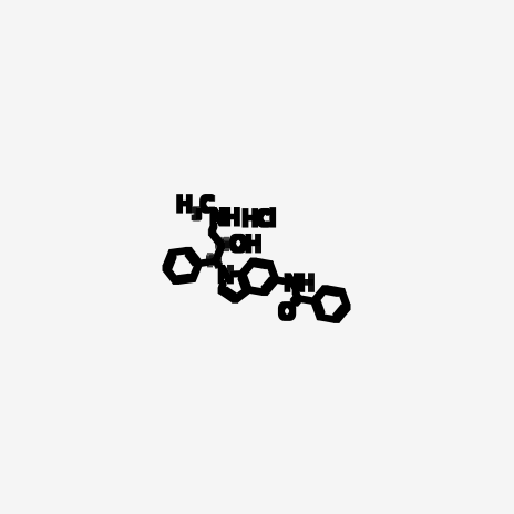 CNC[C@H](O)[C@H](c1ccccc1)n1ccc2cc(NC(=O)c3ccccc3)ccc21.Cl